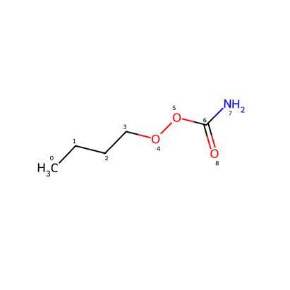 CCCCOOC(N)=O